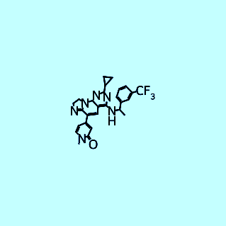 CC(Nc1nc(C2CC2)nc2c1C=C(c1ccn(C)c(=O)c1)C1=NCCN12)c1cccc(C(F)(F)F)c1